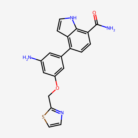 NC(=O)c1ccc(-c2cc(N)cc(OCc3nccs3)c2)c2cc[nH]c12